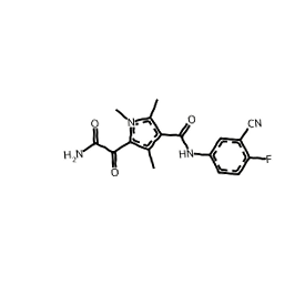 Cc1c(C(=O)Nc2ccc(F)c(C#N)c2)c(C)n(C)c1C(=O)C(N)=O